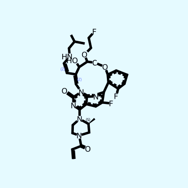 C=CC(=O)N1CCN(c2nc(=O)n3c4nc(c(F)cc24)-c2c(F)cccc2OCC(OCCF)C(O)C(/C=C\NCC(C)C)=C\3)[C@@H](C)C1